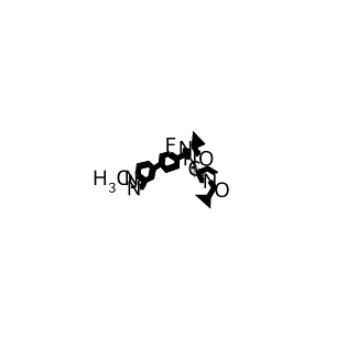 Cn1ncc2cc(-c3ccc(C4=NC5(CC5)C(=O)N4C[C@@H]4CCN(C(=O)C5CC5)C4)c(F)c3)ccc21